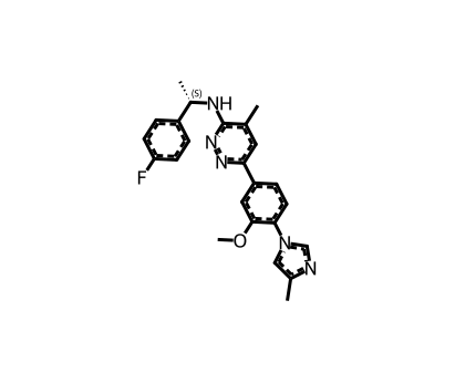 COc1cc(-c2cc(C)c(N[C@@H](C)c3ccc(F)cc3)nn2)ccc1-n1cnc(C)c1